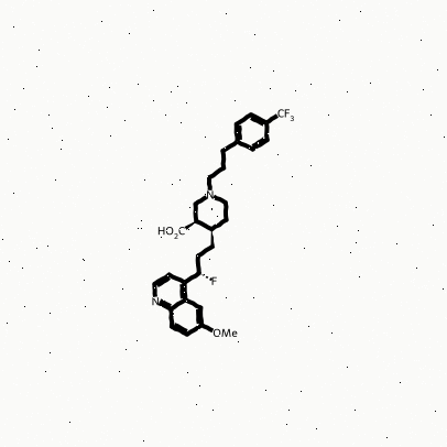 COc1ccc2nccc([C@@H](F)CC[C@@H]3CCN(CCCc4ccc(C(F)(F)F)cc4)C[C@@H]3C(=O)O)c2c1